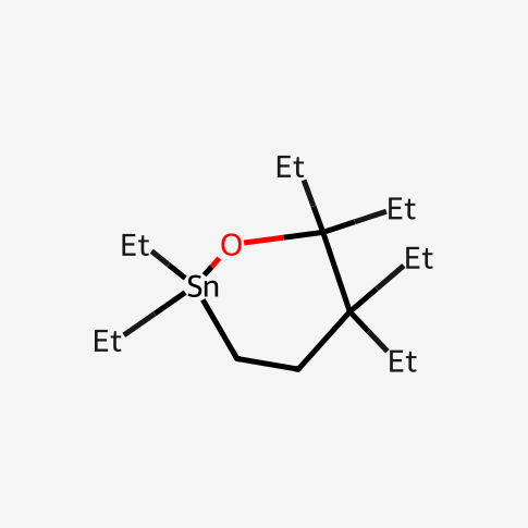 CCC1(CC)C[CH2][Sn]([CH2]C)([CH2]C)[O]C1(CC)CC